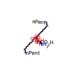 CCCCC/C=C\C/C=C\CCCCCCCCCCCC(=O)O[C@H](COC(=O)CCCCCCCCC/C=C\C/C=C\CCCCC)COP(=O)(O)OC[C@H](N)C(=O)O